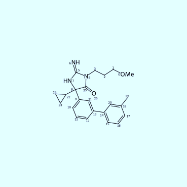 COCCCN1C(=N)NC(c2cccc(-c3cccc(C)c3)c2)(C2CC2)C1=O